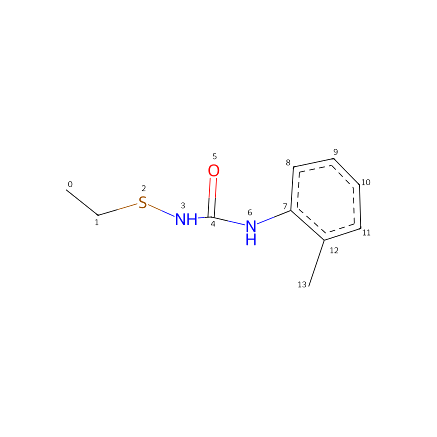 CCSNC(=O)Nc1ccccc1C